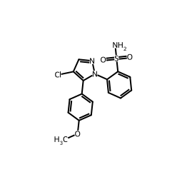 COc1ccc(-c2c(Cl)cnn2-c2ccccc2S(N)(=O)=O)cc1